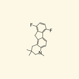 CN1CC(C)(C)Cc2c1ccc1c2Cc2c(F)ccc(F)c2-1